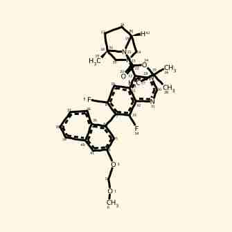 COCOc1cc(-c2c(F)cc3c(N4C[C@H]5CC[C@@](C)(C4)N5C(=O)OC(C)(C)C)ncnc3c2F)c2ccccc2c1